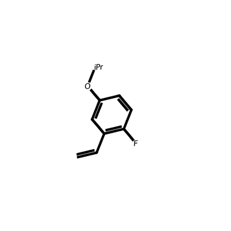 C=Cc1cc(OC(C)C)ccc1F